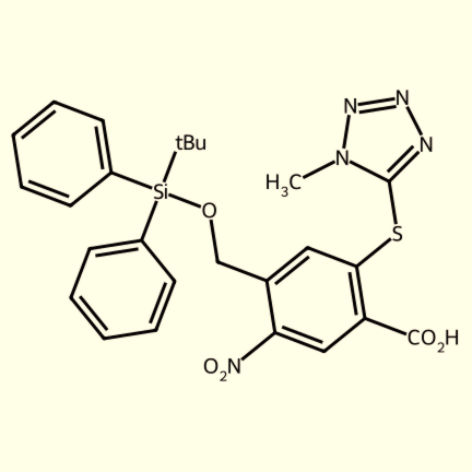 Cn1nnnc1Sc1cc(CO[Si](c2ccccc2)(c2ccccc2)C(C)(C)C)c([N+](=O)[O-])cc1C(=O)O